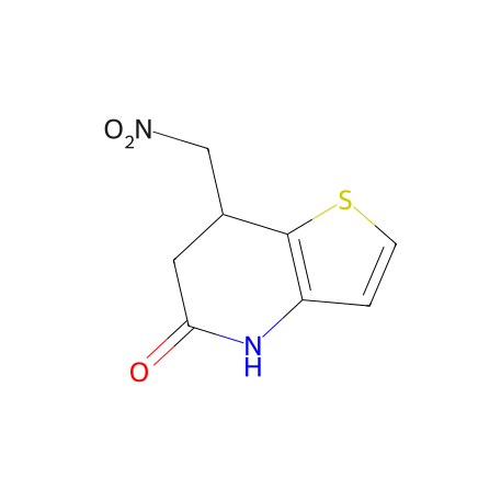 O=C1CC(C[N+](=O)[O-])c2sccc2N1